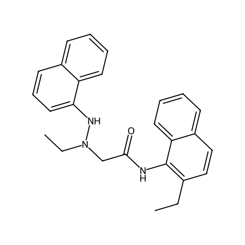 CCc1ccc2ccccc2c1NC(=O)CN(CC)Nc1cccc2ccccc12